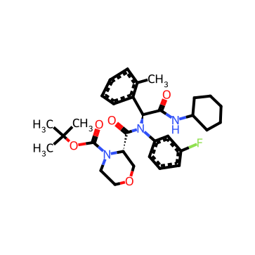 Cc1ccccc1[C@@H](C(=O)NC1CCCCC1)N(C(=O)[C@@H]1COCCN1C(=O)OC(C)(C)C)c1cccc(F)c1